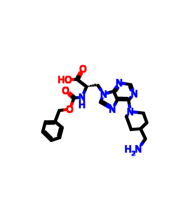 NCC1CCN(c2ncnc3c2ncn3C[C@H](NC(=O)OCc2ccccc2)C(=O)O)CC1